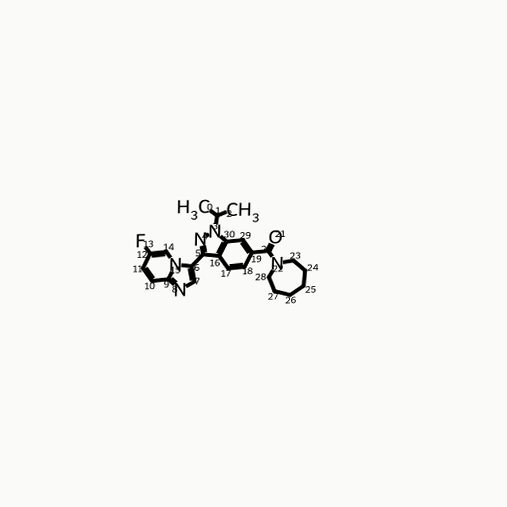 CC(C)n1nc(-c2cnc3ccc(F)cn23)c2ccc(C(=O)N3CCCCCC3)cc21